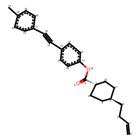 C=CCC[C@H]1CC[C@H](C(=O)Oc2ccc(C#Cc3ccc(C)cc3)cc2)CC1